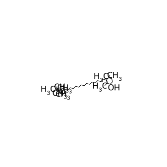 CC1=C(CCCCCCCCCCCCCCCO[Si](C)(C)C(C)(C)C)C(C)(C)CCC1O